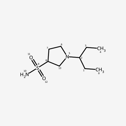 CCC(CC)N1CCC(S(N)(=O)=O)C1